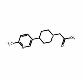 Cc1ccc(C2CCN(CC(=O)O)CC2)cn1